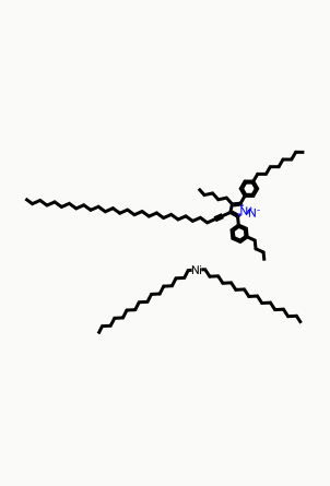 CCCCCCCCCCCCCCCCCCCCCCCCCCC#CC1=C(c2cccc(CCCC)c2)[N+](=[N-])C(c2ccc(CCCCCCCC)cc2)=C1CCCCC.CCCCCCCCCCCCCCC[CH2][Ni][CH2]CCCCCCCCCCCCCCC